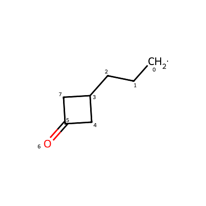 [CH2]CCC1CC(=O)C1